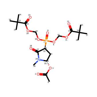 CC(=O)O[C@H]1C[C@H](P(=O)(OCOC(=O)C(C)(C)C)OCOC(=O)C(C)(C)C)C(=O)N1C